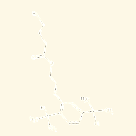 CCC(C)(C)c1ccc(C(C)(C)CC)c(OCCOC(=O)CCCBr)c1